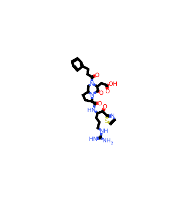 N=C(N)NCCCC(NC(=O)C1CCC2CN(C(=O)CCc3ccccc3)C(CC(=O)O)C(=O)N21)C(=O)c1nccs1